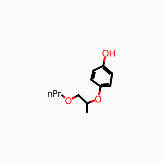 CCCOCC(C)Oc1ccc(O)cc1